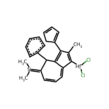 CC1=[C]([Hf]([Cl])[Cl])C2=CC=CC(=[Si](C)C)C(c3ccccc3)C2=C1C1=CC=CC1